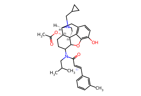 CC(=O)O[C@@]12CCC(N(CC(C)C)C(=O)/C=C/c3cccc(C)c3)C3Oc4c(O)ccc5c4[C@@]31CCN(CC1CC1)[C@@H]2C5